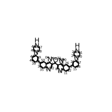 CN(C)c1c(C(=O)c2cnc3ccc(-c4cccc(N5CCNCC5)c4)cc3c2N(C)C)cnc2ccc(-c3cccc(N4CCNCC4)c3)cc12